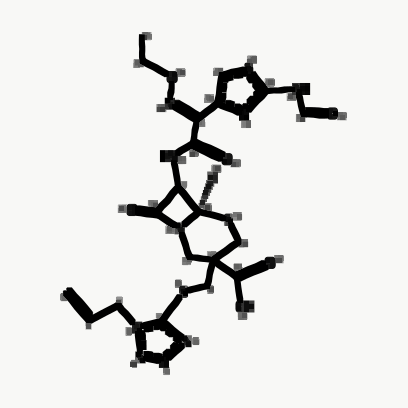 C=CCn1nnnc1SCC1(C(=O)O)CS[C@@H]2C(NC(=O)C(=NOCC)c3csc(NC=O)n3)C(=O)N2C1